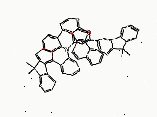 CC1(C)c2ccccc2-c2cc(-c3cccc(N(c4ccccc4-c4cccc5c4-c4ccccc4C5(C)C)c4ccccc4-c4cccc5oc6c7ccccc7ccc6c45)c3)ccc21